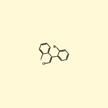 ClC=C(c1ccccc1Br)c1ccccc1I